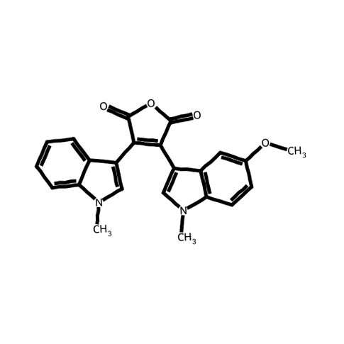 COc1ccc2c(c1)c(C1=C(c3cn(C)c4ccccc34)C(=O)OC1=O)cn2C